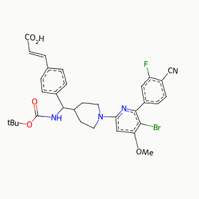 COc1cc(N2CCC(C(NC(=O)OC(C)(C)C)c3ccc(/C=C/C(=O)O)cc3)CC2)nc(-c2ccc(C#N)c(F)c2)c1Br